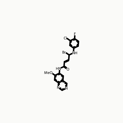 COc1cc2ncncc2cc1NC(=O)C=CC(Br)Nc1ccc(F)c(Cl)c1